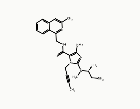 CC#CCn1c(N(C)[C@@H](C)CN)nc(NC)c1C(=O)NCc1nc(C)cc2ccccc12